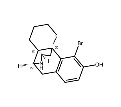 Oc1ccc2c(c1Br)[C@]13CCCC[C@@H]1[C@H](C2)NCC3